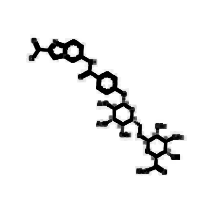 COC(=O)[C@H]1O[C@@H](OC[C@H]2O[C@@H](Oc3ccc(C(=O)Nc4ccc5nc(C(=O)Cl)cn5c4)cc3)[C@H](OC(C)=O)[C@@H](OC(C)=O)[C@H]2OC(C)=O)[C@H](OC(C)=O)[C@@H](OC(C)=O)[C@@H]1O